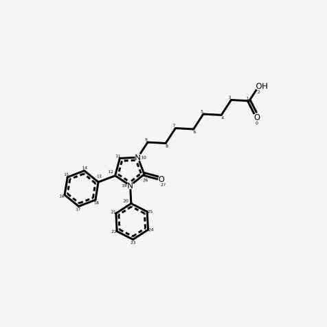 O=C(O)CCCCCCCn1cc(-c2ccccc2)n(-c2ccccc2)c1=O